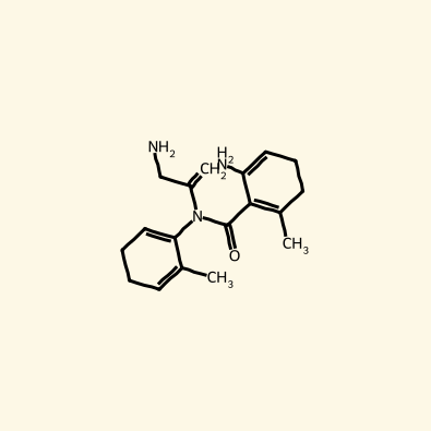 C=C(CN)N(C(=O)C1=C(C)CCC=C1N)C1=CCCC=C1C